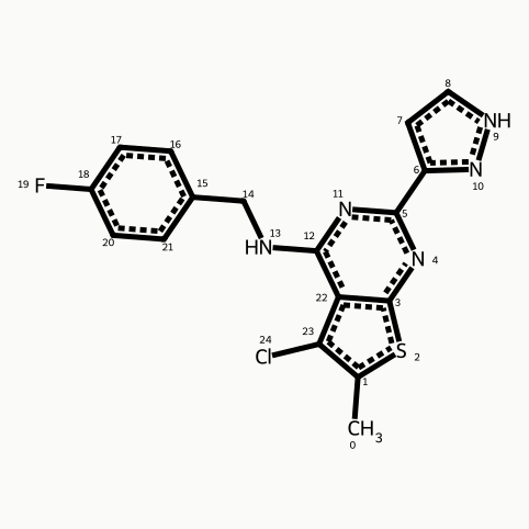 Cc1sc2nc(-c3cc[nH]n3)nc(NCc3ccc(F)cc3)c2c1Cl